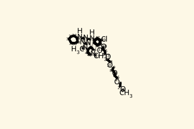 COCCOCCOCCOCCOCCC(=O)Oc1ccc(Nc2nc(NC3CCCCCC3)nc(N(C)C3C=CN(C)CC3)n2)cc1Cl